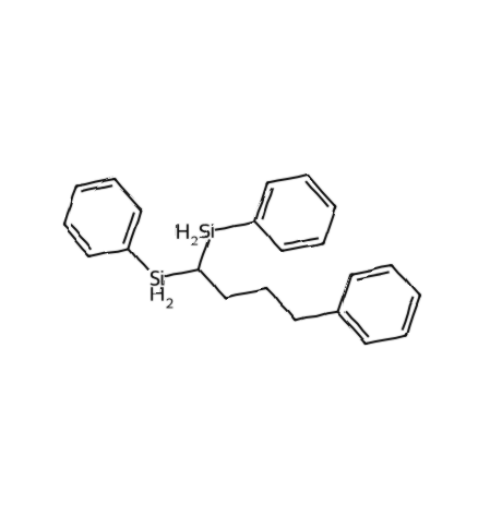 c1ccc(CCCC([SiH2]c2ccccc2)[SiH2]c2ccccc2)cc1